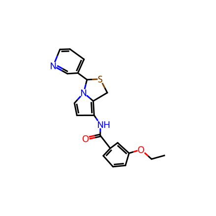 CCOc1cccc(C(=O)Nc2ccn3c2CSC3c2cccnc2)c1